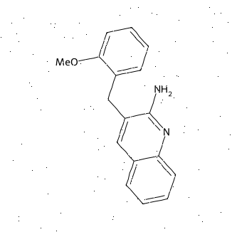 COc1ccccc1Cc1cc2ccccc2nc1N